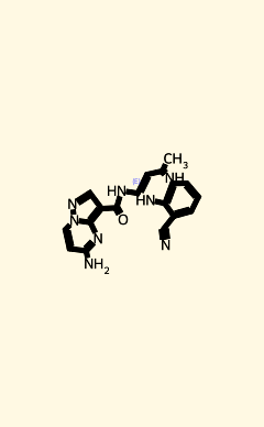 CC(=N)/C=C(/NC(=O)c1cnn2ccc(N)nc12)Nc1ccccc1C#N